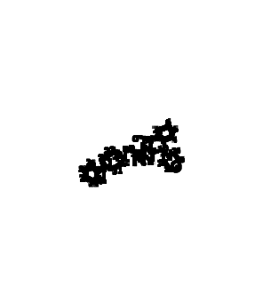 C[C@@H](c1ccccc1)n1c(CN2CCOCC2)nnc1CN1CCN(c2ccccn2)CC1